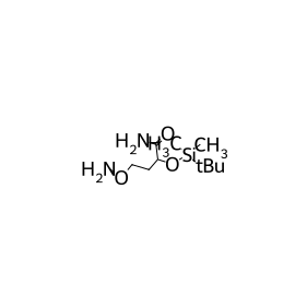 CC(C)(C)[Si](C)(C)OC(CCON)C(N)=O